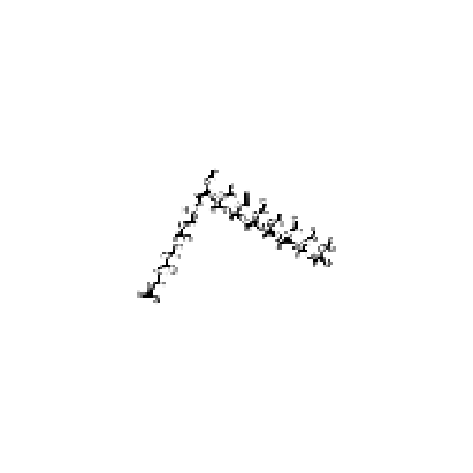 CCOC(=O)CCO.CCOC(C)=O.CCOC(C)=O.CCOC(C)=O.CCOC(C)=O.CCOC(C)=O.CCOC(C)=O.CCOC(C)=O.CCOC(C)=O.CCOC(C)=O.CCOC(C)=O